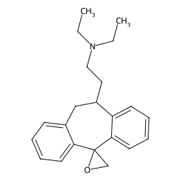 CCN(CC)CCC1Cc2ccccc2C2(CO2)c2ccccc21